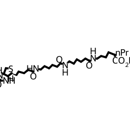 CCCC(CCCCNC(=O)CCCCCNC(=O)CCCCCNC(=O)CCCC[C@@H]1SC[C@@H]2NC(=O)N[C@@H]21)C(=O)O